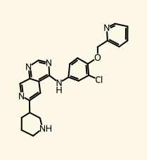 Clc1cc(Nc2ncnc3cnc(C4CCCNC4)cc23)ccc1OCc1ccccn1